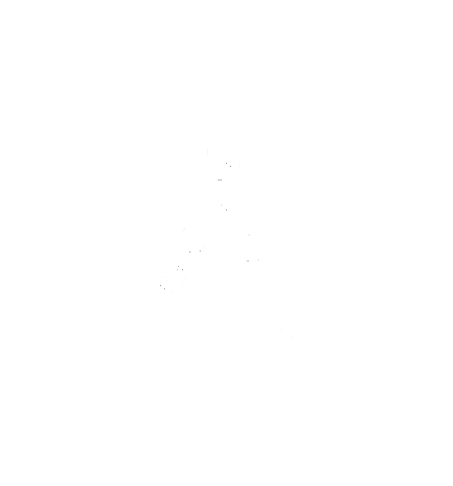 C=CCCOc1ccc(S(=O)(=O)N(CC(=O)NO)Cc2ccc(-n3ccnc3)cc2)cc1